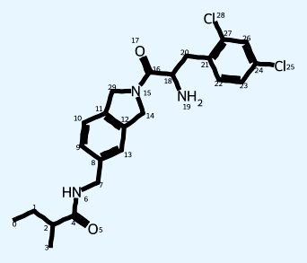 CCC(C)C(=O)NCc1ccc2c(c1)CN(C(=O)C(N)Cc1ccc(Cl)cc1Cl)C2